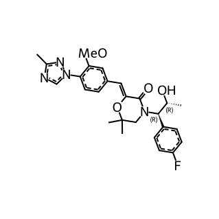 COc1cc(C=C2OC(C)(C)CN([C@H](c3ccc(F)cc3)[C@@H](C)O)C2=O)ccc1-n1cnc(C)n1